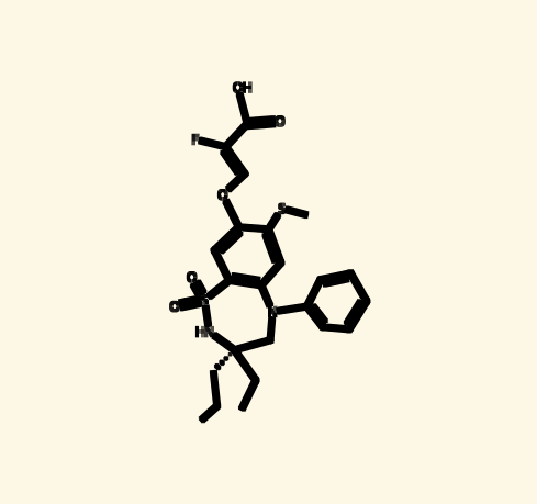 CCC[C@@]1(CC)CN(c2ccccc2)c2cc(SC)c(O/C=C(\F)C(=O)O)cc2S(=O)(=O)N1